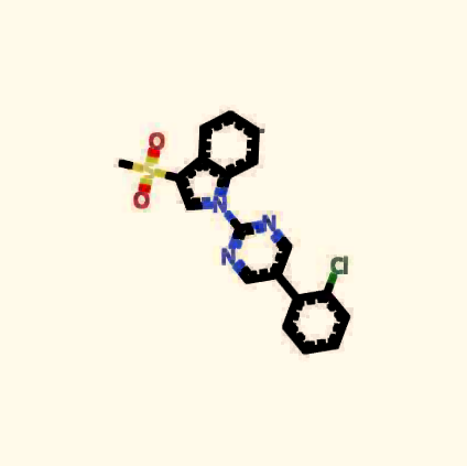 CS(=O)(=O)c1cn(-c2ncc(-c3ccccc3Cl)cn2)c2c[c]ccc12